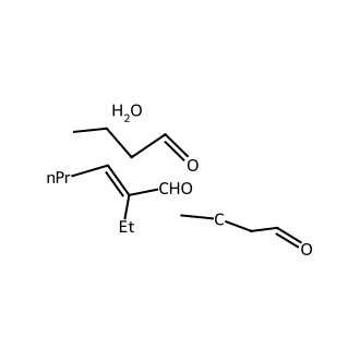 CCC/C=C(/C=O)CC.CCCC=O.CCCC=O.O